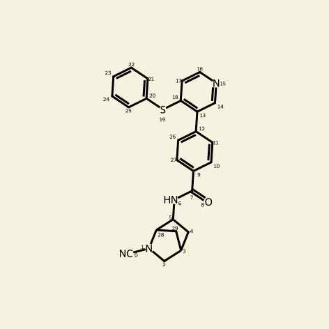 N#CN1CC2CC(NC(=O)c3ccc(-c4cnccc4Sc4ccccc4)cc3)C1C2